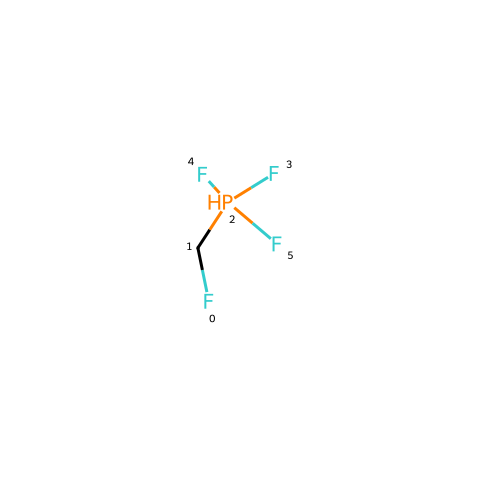 FC[PH](F)(F)F